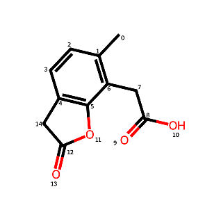 Cc1ccc2c(c1CC(=O)O)OC(=O)C2